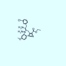 CCOC(=O)c1ncn2c1C/C(=C(/N)Cc1cccc(Cl)c1)N(N)c1cc(OC)ccc1-2